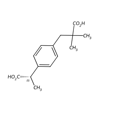 C[C@H](C(=O)O)c1ccc(CC(C)(C)C(=O)O)cc1